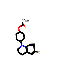 CNC(=O)OC1CCC(N2CCCc3cc(Br)ccc32)CC1